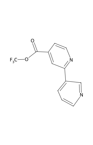 O=C(OC(F)(F)F)c1ccnc(-c2cccnc2)c1